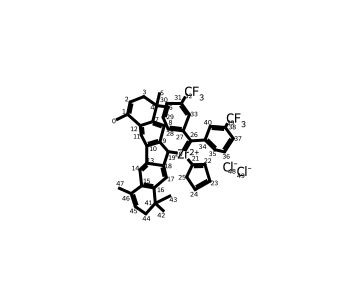 CC1=CCC(C)(C)c2cc3c(cc21)-c1cc2c(cc1[CH]3[Zr+2]([C]1=CC=CC1)=[C](c1cccc(C(F)(F)F)c1)c1cccc(C(F)(F)F)c1)C(C)(C)CC=C2C.[Cl-].[Cl-]